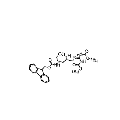 CC(C)(C)OC(=O)NC(=NCCCN(CC(=O)O)NC(=O)OCC1c2ccccc2-c2ccccc21)NC(=O)OC(C)(C)C